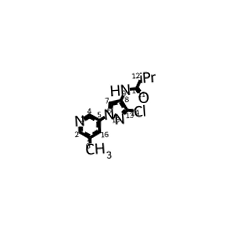 Cc1cncc(-n2cc(NC(=O)C(C)C)c(Cl)n2)c1